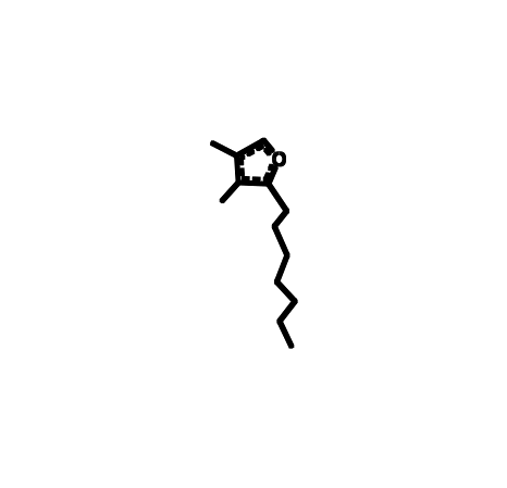 CCCCCCCc1occ(C)c1C